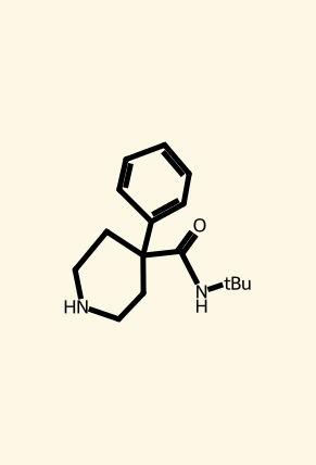 CC(C)(C)NC(=O)C1(c2ccccc2)CCNCC1